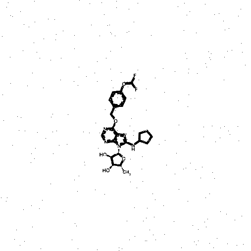 C[C@H]1O[C@@H](n2c(NC3CCCC3)nc3c(OCc4ccc(OC(F)F)cc4)ncnc32)[C@H](O)[C@@H]1O